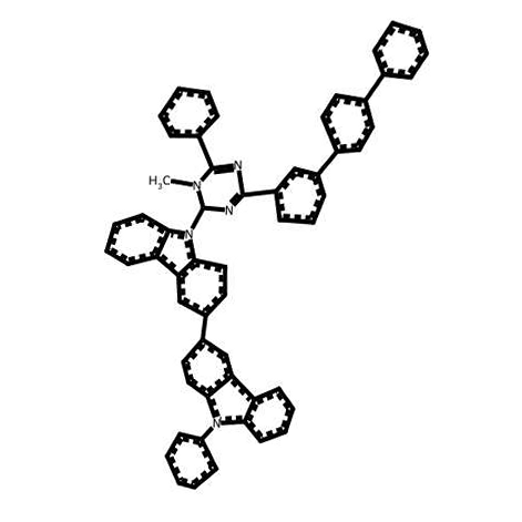 CN1C(c2ccccc2)=NC(c2cccc(-c3ccc(-c4ccccc4)cc3)c2)=NC1n1c2ccccc2c2cc(-c3ccc4c(c3)c3ccccc3n4-c3ccccc3)ccc21